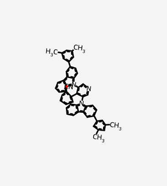 Cc1cc(C)cc(-c2ccc3c(c2)c2ccccc2n3-c2cncc(-n3c4ccccc4c4cc(-c5cc(C)cc(C)c5)ccc43)c2-c2ccccc2C#N)c1